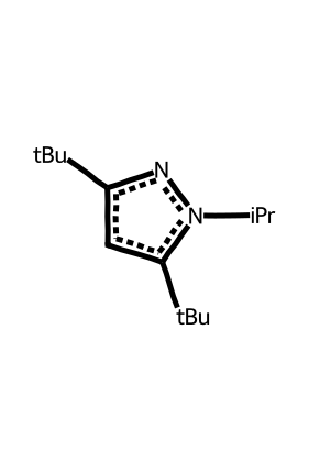 CC(C)n1nc(C(C)(C)C)cc1C(C)(C)C